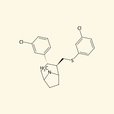 CN1C2CCC1[C@H](CSc1cccc(Cl)c1)[C@@H](c1cccc(Cl)c1)C2